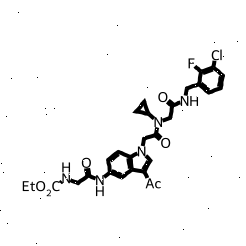 CCOC(=O)NCC(=O)Nc1ccc2c(c1)c(C(C)=O)cn2CC(=O)N(CC(=O)NCc1cccc(Cl)c1F)C1CC1